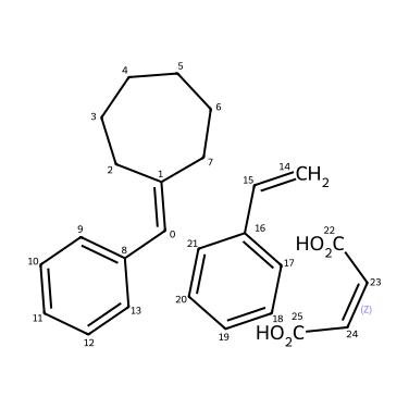 C(=C1CCCCCC1)c1ccccc1.C=Cc1ccccc1.O=C(O)/C=C\C(=O)O